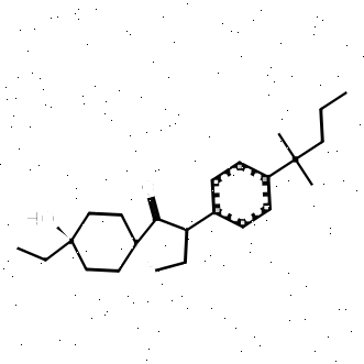 CCCC(C)(C)c1ccc(C2CC[C@]3(CC[C@@](O)(CC)CC3)C2=O)cc1